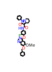 COc1cc2c(Oc3ccc(NC(=O)c4c5n(n(-c6ccccc6)c4=O)CCCC5)cc3F)ncnc2cc1OCc1ccccc1